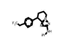 CC(C)Nc1nc2n(n1)CCCC2c1ccc(CC(F)(F)F)cc1